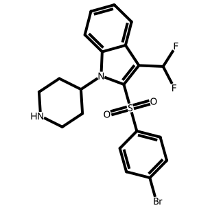 O=S(=O)(c1ccc(Br)cc1)c1c(C(F)F)c2ccccc2n1C1CCNCC1